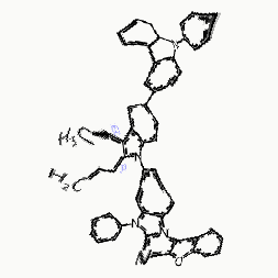 C=C/C=c1\c(=C/C)c2cc(-c3ccc4c(c3)C3=CC=CCC3N4c3ccccc3)ccc2n1-c1ccc2c(c1)n(-c1ccccc1)c1nc3oc4ccccc4c3n21